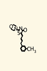 Cc1cccc(CC=CC=C2SC(N3CCOCC3)=NC2=O)c1